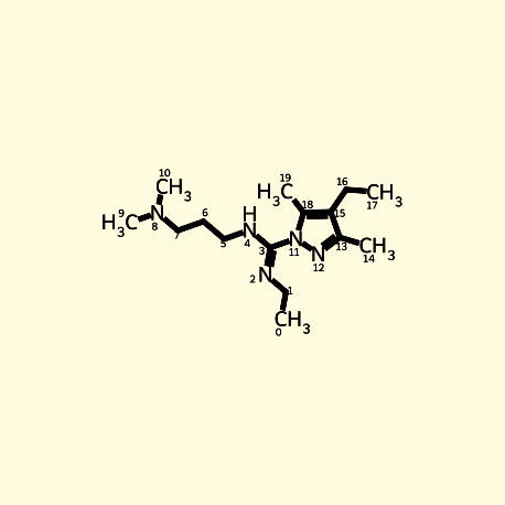 CC/N=C(/NCCCN(C)C)n1nc(C)c(CC)c1C